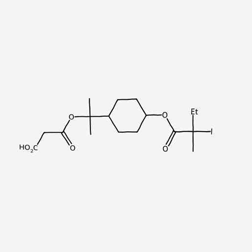 CCC(C)(I)C(=O)OC1CCC(C(C)(C)OC(=O)CC(=O)O)CC1